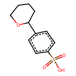 O=S(=O)(O)c1ccc(C2CCCCO2)cc1